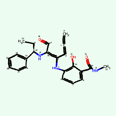 C=C=C/C(Nc1cccc(C(=O)NC)c1O)=C(\C=O)N[C@H](CC)c1ccccc1